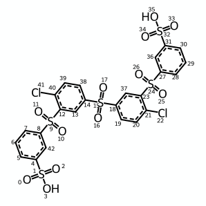 O=S(=O)(O)c1cccc(S(=O)(=O)c2cc(S(=O)(=O)c3ccc(Cl)c(S(=O)(=O)c4cccc(S(=O)(=O)O)c4)c3)ccc2Cl)c1